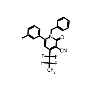 Cc1cccc(-c2cc(C(F)(F)C(F)(F)C(F)(F)F)c(C#N)c(=O)n2Cc2ccccc2)c1